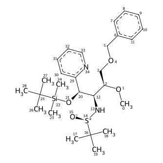 CO[C@H](COCc1ccccc1)[C@@H](N[S@+]([O-])C(C)(C)C)[C@@H](O[Si](C)(C)C(C)(C)C)c1ccccn1